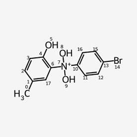 Cc1ccc(O)c([N+](O)(O)c2ccc(Br)cc2)c1